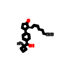 CCCC1(C(O)c2ccc(C3CCC(=O)[C@@H]3C/C=C\CCCC=O)cc2)CCC1